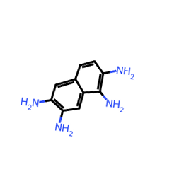 Nc1cc2ccc(N)c(N)c2cc1N